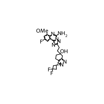 COc1cc(F)cc2c1nc(N)n1nc(CCC3(O)CCc4c(nnn4C4CC(F)(F)C4)C3)nc21